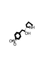 O=[N+]([O-])c1ccc(CC(O)[C@@H]2CCCN2)cc1